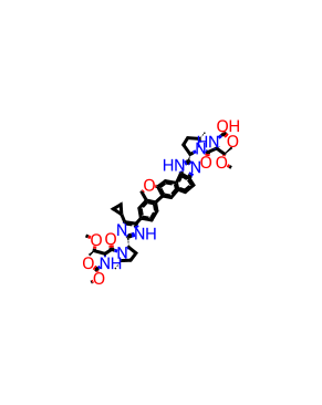 COC(=O)N[C@H](C(=O)N1[C@@H](C)CC[C@H]1c1nc(C2CC2)c(-c2ccc3c(c2)COc2cc4c(ccc5nc([C@@H]6CC[C@H](C)N6C(=O)[C@@H](NC(=O)O)[C@@H](C)OC)[nH]c54)cc2-3)[nH]1)[C@@H](C)OC